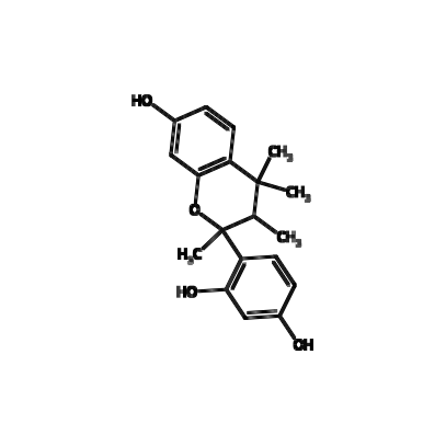 CC1C(C)(C)c2ccc(O)cc2OC1(C)c1ccc(O)cc1O